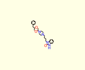 O=c1[nH]c2ccccc2n1CCCCN1CCN(C2COC(Cc3ccccc3)CO2)CC1